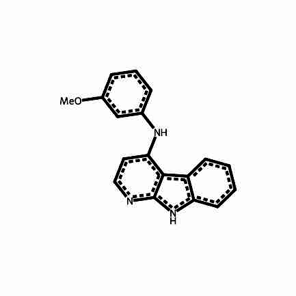 COc1cccc(Nc2ccnc3[nH]c4ccccc4c23)c1